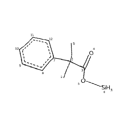 CC(C)(C(=O)O[SiH3])c1ccccc1